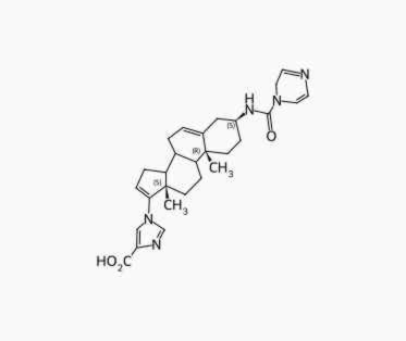 C[C@]12CC[C@H](NC(=O)N3C=CN=CC3)CC1=CCC1C2CC[C@]2(C)C(n3cnc(C(=O)O)c3)=CCC12